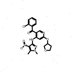 Cc1c([N+](=O)[O-])c(Nc2cc(OC3CCOC3)ncc2C(=O)c2ccccc2Cl)nn1C